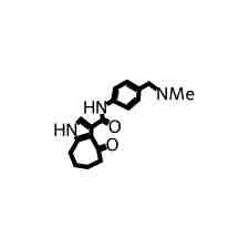 CNCc1ccc(NC(=O)c2c[nH]c3c2C(=O)CCCC3)cc1